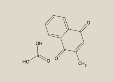 CC1=CC(=O)c2ccccc2C1=O.O=S(O)O